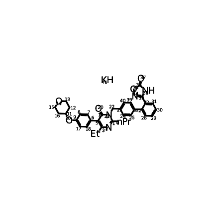 CCCc1nc(CC)c(-c2ccc(OC3CCOCC3)cc2)c(=O)n1Cc1ccc(-c2ccccc2-c2noc(=O)[nH]2)cc1.[KH]